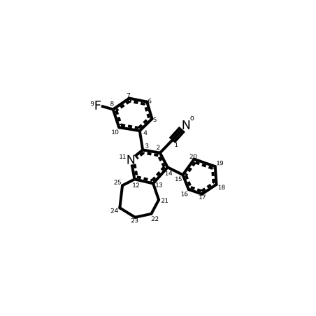 N#Cc1c(-c2cccc(F)c2)nc2c(c1-c1ccccc1)CCCCC2